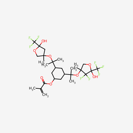 C=C(C)C(=O)OC1CC(C(C)(C)OC2(C)COC(O)(C(F)(F)F)C2)CC(C(C)(C)OC2(C)COC(O)(C(F)(F)F)C2(F)F)C1